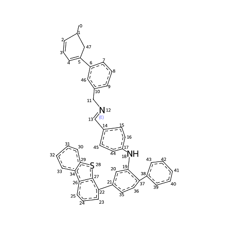 CC1C=CC=C(c2cccc(C/N=C/c3ccc(Nc4cc(-c5cccc6c5sc5ccccc56)ccc4-c4ccccc4)cc3)c2)C1